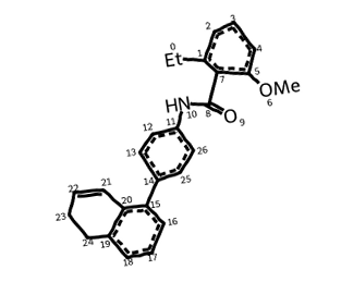 CCc1cccc(OC)c1C(=O)Nc1ccc(-c2cccc3c2C=CCC3)cc1